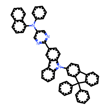 c1ccc(N(c2cnc(-c3ccc4c(c3)c3ccccc3n4-c3ccc4c(c3)C(c3ccccc3)(c3ccccc3)c3ccccc3-4)nc2)c2cccc3ccccc23)cc1